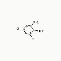 O=C(O)c1c(Br)cc(Cl)cc1[N+](=O)[O-]